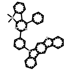 C[Si]1(C)c2ccccc2-c2c(-c3ccccc3)nc(-c3cccc(-n4c5ccccc5c5cc6c(cc54)sc4ccccc46)c3)nc21